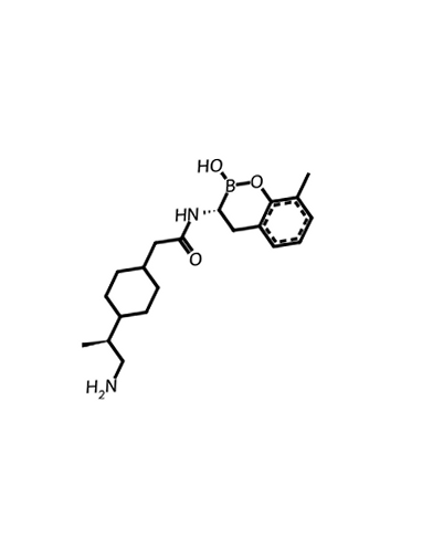 Cc1cccc2c1OB(O)[C@@H](NC(=O)CC1CCC([C@H](C)CN)CC1)C2